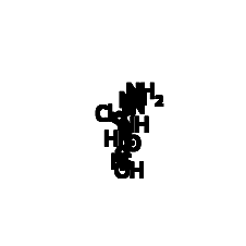 Nc1ncnc2c1ncn2Cc1cc(Cl)cc2cc(CNC(=O)c3ccc4nc(O)sc4c3)[nH]c12